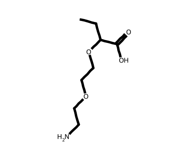 CCC(OCCOCCN)C(=O)O